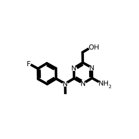 CN(c1ccc(F)cc1)c1nc(N)nc(CO)n1